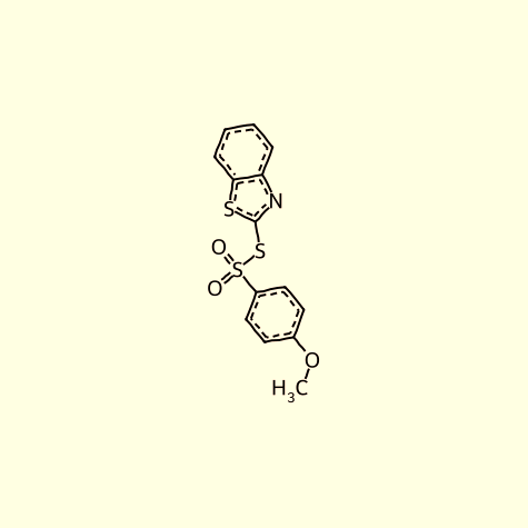 COc1ccc(S(=O)(=O)Sc2nc3ccccc3s2)cc1